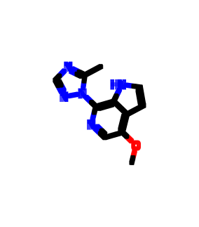 COc1cnc(-n2ncnc2C)c2[nH]ccc12